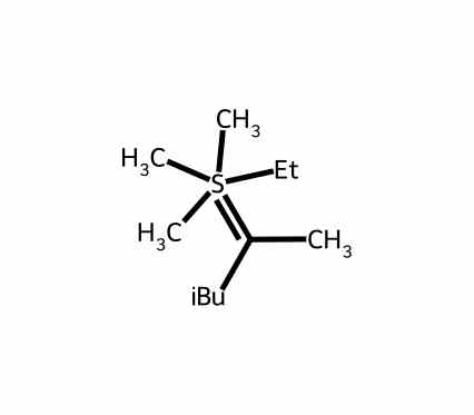 CCC(C)C(C)=S(C)(C)(C)CC